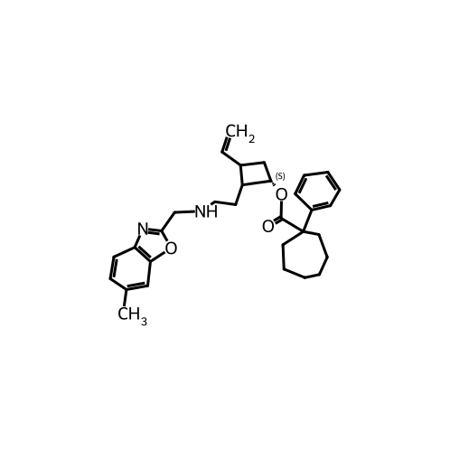 C=CC1C[C@H](OC(=O)C2(c3ccccc3)CCCCCC2)C1CCNCc1nc2ccc(C)cc2o1